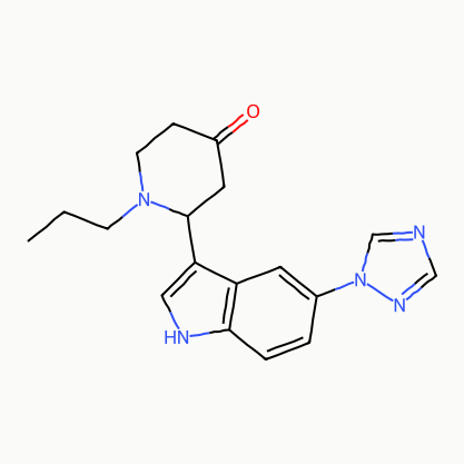 CCCN1CCC(=O)CC1c1c[nH]c2ccc(-n3cncn3)cc12